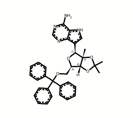 CC1(C)O[C@@H]2[C@@H](COC(c3ccccc3)(c3ccccc3)c3ccccc3)O[C@@H](c3c[nH]c4c(N)ncnc34)[C@]2(C)O1